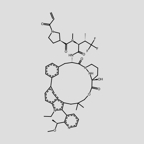 C=CC(=O)N1CC[C@H](C(=O)N(C)[C@H](C(=O)N[C@H]2Cc3cccc(c3)-c3ccc4c(c3)c(c(-c3cccnc3[C@H](C)OC)n4CC)CC(C)(C)COC(=O)[C@@]3(O)CCCN(N3)C2=O)[C@H](C)C(F)(F)F)C1